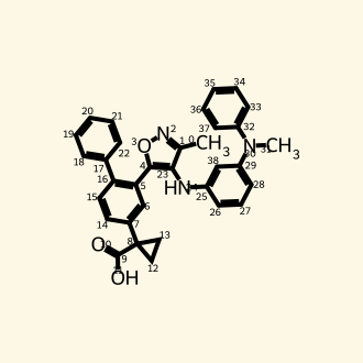 Cc1noc(-c2cc(C3(C(=O)O)CC3)ccc2-c2ccccc2)c1Nc1cccc(N(C)c2ccccc2)c1